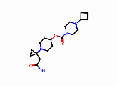 NC(=O)CC1(N2CCC(OC(=O)N3CCN(C4CCC4)CC3)CC2)C=C1